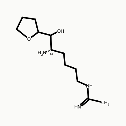 CC(=N)NCCCC[C@H](N)C(O)C1CCCO1